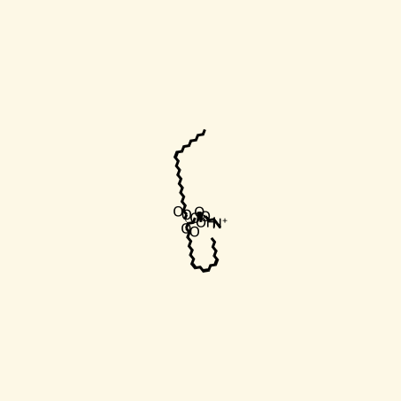 CCCCC/C=C\C/C=C\C/C=C\CCCCCCC(=O)O[C@H](COC(=O)CCCCCCCCCCC/C=C\CCCCCCCC)COP(=O)(O)OCC[N+](C)(C)C